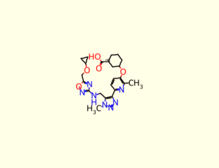 Cc1nc(-c2nnn(C)c2CNc2noc(COC3CC3)n2)ccc1OC1CCC[C@H](C(=O)O)C1